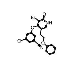 N#Cc1cc(Cl)cc(Oc2c(CCOc3ccccc3)c[nH]c(=O)c2Br)c1